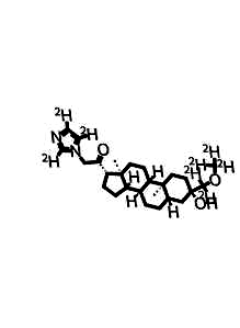 [2H]c1nc([2H])n(CC(=O)[C@H]2CC[C@H]3[C@@H]4CC[C@H]5C[C@@](O)(C([2H])([2H])OC([2H])([2H])[2H])CC[C@]5(C)[C@H]4CC[C@]23C)c1[2H]